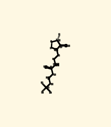 C[C@H]1CCN(CCNC(=O)CSCC(C)(C)C)C1=O